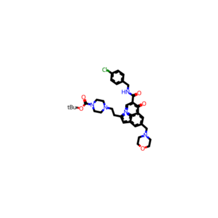 CC(C)(C)OC(=O)N1CCN(CCc2cc3cc(CN4CCOCC4)cc4c(=O)c(C(=O)NCc5ccc(Cl)cc5)cn2c34)CC1